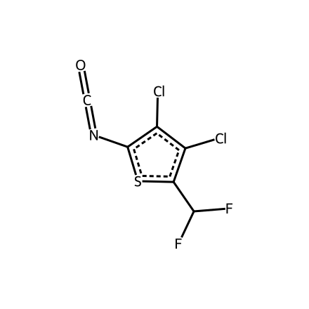 O=C=Nc1sc(C(F)F)c(Cl)c1Cl